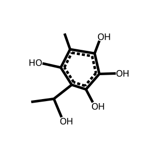 Cc1c(O)c(O)c(O)c(C(C)O)c1O